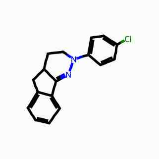 Clc1ccc(N2CCC3Cc4ccccc4C3=N2)cc1